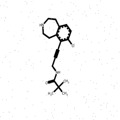 CC(C)(C)C(=O)NCC#Cc1c(Cl)ccc2c1CCNCC2